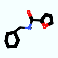 O=C([N]Cc1ccccc1)c1ccco1